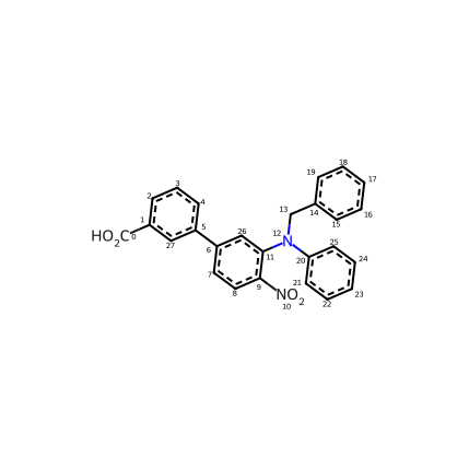 O=C(O)c1cccc(-c2ccc([N+](=O)[O-])c(N(Cc3ccccc3)c3ccccc3)c2)c1